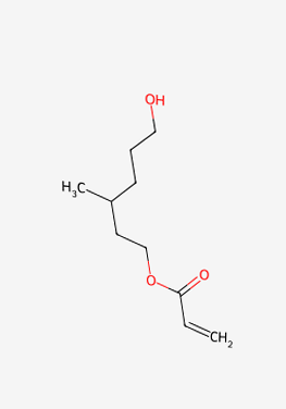 C=CC(=O)OCCC(C)CCCO